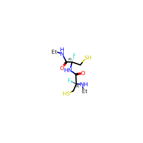 CCNC(=O)[C@@](F)(CS)NC(=O)[C@@](F)(CS)NCC